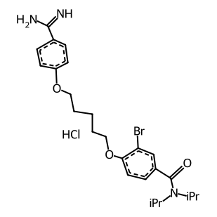 CC(C)N(C(=O)c1ccc(OCCCCCOc2ccc(C(=N)N)cc2)c(Br)c1)C(C)C.Cl